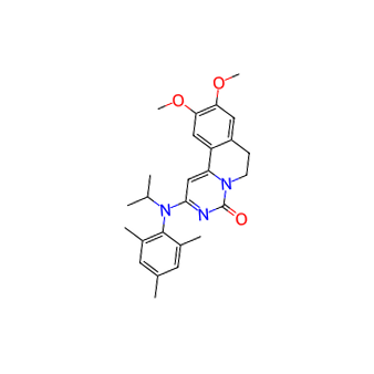 COc1cc2c(cc1OC)-c1cc(N(c3c(C)cc(C)cc3C)C(C)C)nc(=O)n1CC2